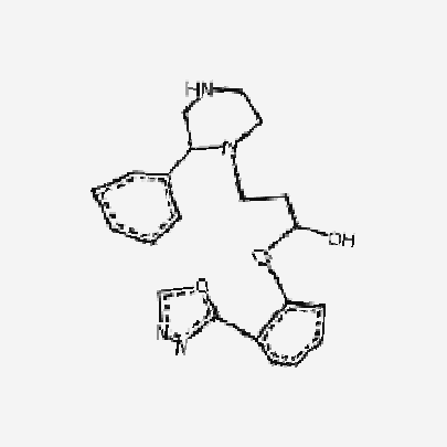 OC(CCN1CCNCC1c1ccccc1)Oc1ccccc1-c1nnco1